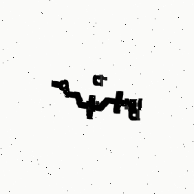 COCCC[N+](C)(C)CCC(C)(C)NCl.[Cl-]